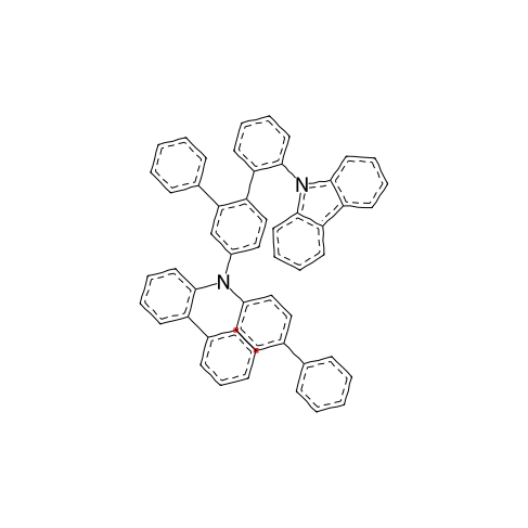 c1ccc(-c2ccc(N(c3ccc(-c4ccccc4-n4c5ccccc5c5ccccc54)c(-c4ccccc4)c3)c3ccccc3-c3ccccc3)cc2)cc1